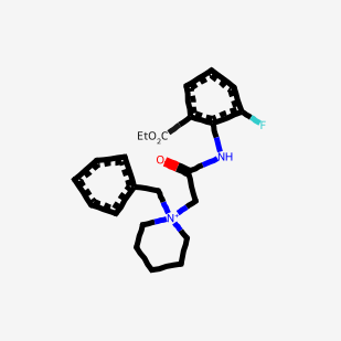 CCOC(=O)c1cccc(F)c1NC(=O)C[N+]1(Cc2ccccc2)CCCCC1